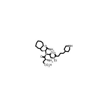 CCN(CC(=O)N(C(=O)[C@@H](N)CC(=O)O)[C@@H](CC1CCCCCCC1)C(N)=O)C(=O)CCCC1CCNCC1